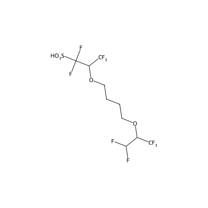 O=S(=O)(O)C(F)(F)C(OCCCCOC(C(F)F)C(F)(F)F)C(F)(F)F